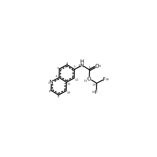 O=C(Nc1ccc2ncccc2c1)OC(F)F